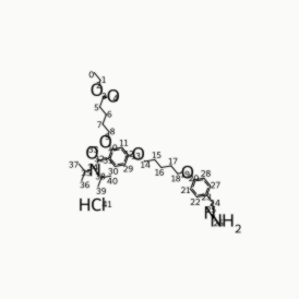 CCOC(=O)CCCCOc1cc(OCCCCCOc2ccc(C=NN)cc2)ccc1C(=O)N(C(C)C)C(C)C.Cl